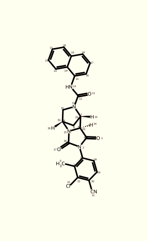 Cc1c(N2C(=O)[C@@H]3[C@@H]4C[C@@H](CN4C(=O)Nc4cccc5ccccc45)N3C2=O)ccc(C#N)c1Cl